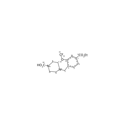 CCOC(=O)c1ccc(CN2CCN(C(=O)O)CC2)c(OC(F)(F)F)c1